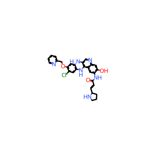 Nc1cnc2cc(O)c(NC(=O)/C=C/C3CCCN3)cc2c1Nc1ccc(OCc2ccccn2)c(Cl)c1